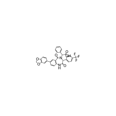 O=C(O)C(c1ccccc1)N1C(=O)c2cc(-c3ccc4c(c3)OCO4)ccc2NC(=O)C1c1ccc(C(F)(F)F)cc1